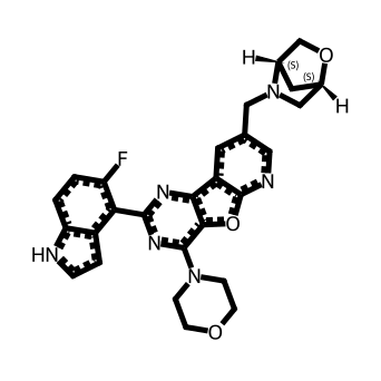 Fc1ccc2[nH]ccc2c1-c1nc(N2CCOCC2)c2oc3ncc(CN4C[C@@H]5C[C@H]4CO5)cc3c2n1